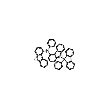 c1ccc(N(c2cccc3oc4ccccc4c23)c2cccc3c2c2ccccc2n3C2(c3ccccc3)c3ccccc3-c3ccccc32)cc1